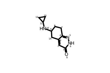 O=c1cc2c(n[nH]1)CCC(NC1CC1)C2